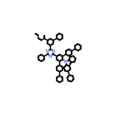 C=C/C=C\C(=C)c1cc(-c2ccccc2)cc(-c2nc(-c3ccccc3)nc(-c3cc(-c4ccc(-c5ccccc5)cc4)c(-n4c5ccccc5c5cc(-c6ccccc6)ccc54)c(-c4ccc(-c5ccccc5)cc4)c3)n2)c1